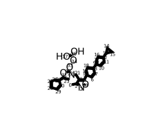 Cc1noc(-c2ccc(-c3ccc(C4CC4)cc3)cc2)c1CN1CC(c2ccccc2)OC1=O.O=C(O)O